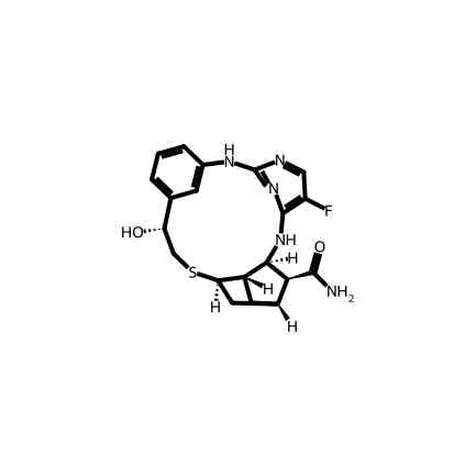 NC(=O)[C@H]1[C@H]2C[C@H]3[C@H]1Nc1nc(ncc1F)Nc1cccc(c1)[C@@H](O)CS[C@@H]3C2